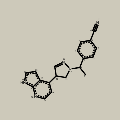 CC(c1ccc(C#N)cc1)N1CC(c2ccnc3[nH]ccc23)C=N1